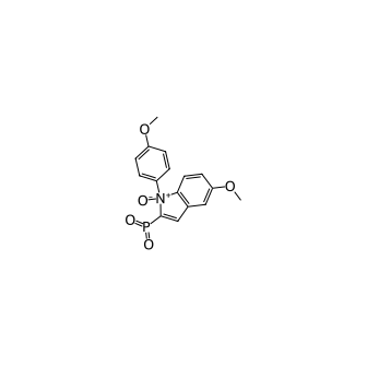 COc1ccc([N+]2([O-])C(P(=O)=O)=Cc3cc(OC)ccc32)cc1